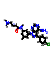 Cc1cc(N(C)C(=O)/C=C/CN(C)C)cc(-n2nc(-c3ccc(Cl)cc3)c3c(N)ncnc32)c1